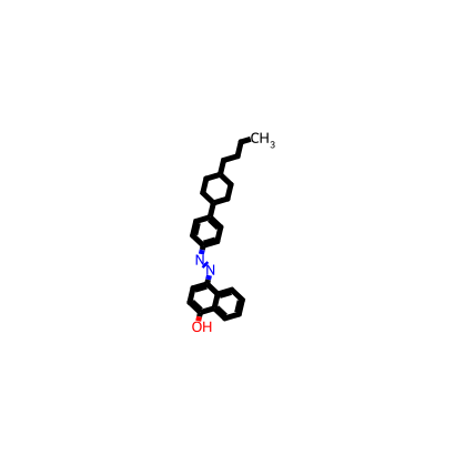 CCCCC1CCC(c2ccc(N=Nc3ccc(O)c4ccccc34)cc2)CC1